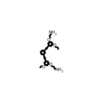 CCCOc1cc(C#Cc2cccc(C#Cc3cc(OCC)cc(OCCCN)c3)c2)cc(OCCCN)c1